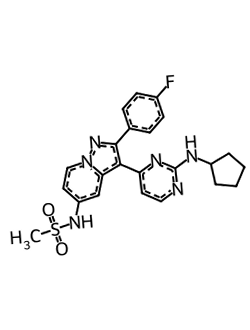 CS(=O)(=O)Nc1ccn2nc(-c3ccc(F)cc3)c(-c3ccnc(NC4CCCC4)n3)c2c1